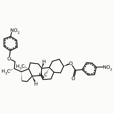 C[C@H](COc1ccc([N+](=O)[O-])cc1)[C@H]1CC[C@H]2C3=CCC4C[C@H](OC(=O)c5ccc([N+](=O)[O-])cc5)CC[C@]4(C)[C@H]3CC[C@]12C